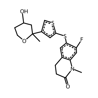 CN1C(=O)CCc2cc(Sc3cc(C4(C)CC(O)CCO4)cs3)c(F)cc21